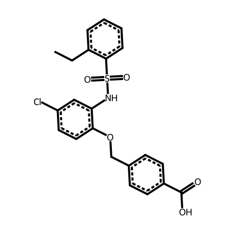 CCc1ccccc1S(=O)(=O)Nc1cc(Cl)ccc1OCc1ccc(C(=O)O)cc1